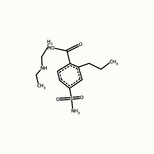 CCCc1cc(S(N)(=O)=O)ccc1C(=O)O.CCNCC